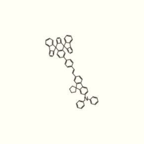 C(=C\c1ccc2c(c1)C1(CCCC1)c1cc(N(c3ccccc3)c3ccccc3)ccc1-2)/c1ccc(-c2ccc3c(c2)C2(c4ccccc4-c4ccccc42)c2ccccc2C32c3ccccc3-c3ccccc32)cc1